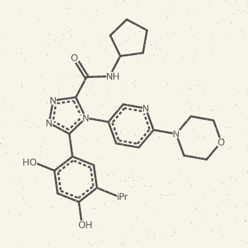 CC(C)c1cc(-c2nnc(C(=O)NC3CCCC3)n2-c2ccc(N3CCOCC3)nc2)c(O)cc1O